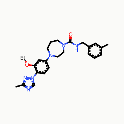 CCOc1cc(N2CCCN(C(=O)NCc3cccc(C)c3)CC2)ccc1-n1cnc(C)n1